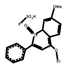 CCOC1=C2C=CC(OC)=CC2[Te](=O)C(c2ccccc2)=C1.O=S(=O)(O)F